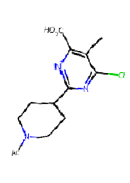 CC(=O)N1CCC(c2nc(Cl)c(C)c(C(=O)O)n2)CC1